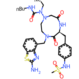 CCCCNC(=O)N(CC#N)N1CCN(Cc2cccc3sc(N)nc23)C(=O)[C@H](Cc2ccc(NS(C)(=O)=O)cc2)NC(=O)C1